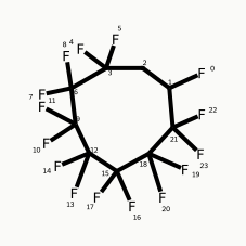 FC1CC(F)(F)C(F)(F)C(F)(F)C(F)(F)C(F)(F)C(F)(F)C1(F)F